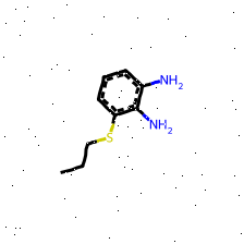 CCCSc1cccc(N)c1N